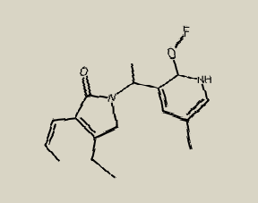 C/C=C\C1=C(CC)CN(C(C)C2=CC(C)=CNC2OF)C1=O